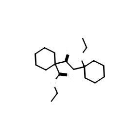 CCOC(=O)C1(C(=O)CC2(OCC)CCCCC2)CCCCC1